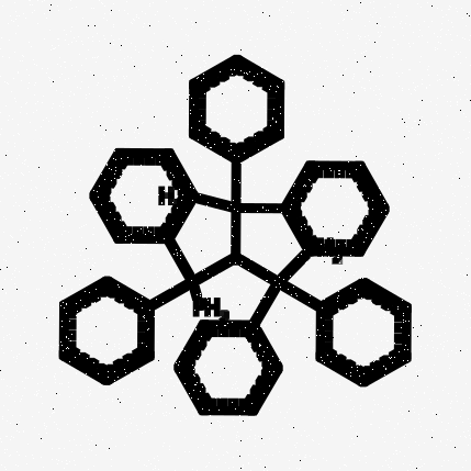 PC([C](C(P)(c1ccccc1)c1ccccc1)C(P)(c1ccccc1)c1ccccc1)(c1ccccc1)c1ccccc1